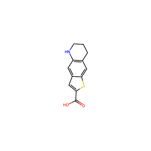 O=C(O)c1cc2cc3c(cc2s1)CCCN3